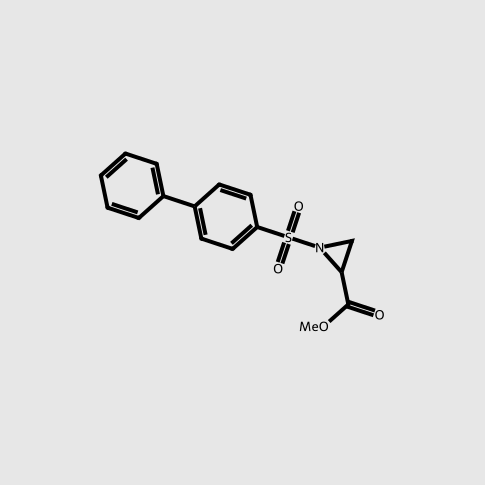 COC(=O)C1CN1S(=O)(=O)c1ccc(-c2ccccc2)cc1